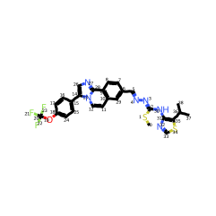 CSC(=NN=Cc1ccc2c(ccn3c(-c4ccc(OC(F)(F)F)cc4)cnc23)c1)Nc1ncsc1C(C)C